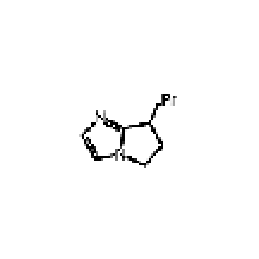 CC(C)C1CCn2ccnc21